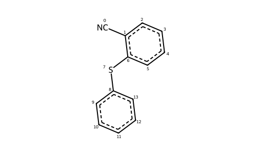 N#Cc1ccccc1Sc1ccccc1